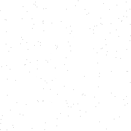 [c]1ccc(OC2CCCOC2)nc1N1CCN(C2CC2)CC1